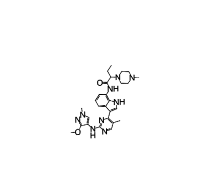 CCC(C(=O)Nc1cccc2c(-c3nc(Nc4cn(C)nc4OC)ncc3C)c[nH]c12)N1CCN(C)CC1